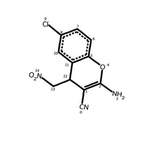 N#CC1=C(N)Oc2ccc(Cl)cc2C1C[N+](=O)[O-]